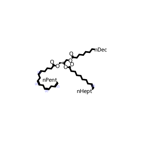 CCCCC/C=C\C/C=C\C/C=C\C/C=C\CCCC(=O)OC[C@@H](COC(=O)CCCCCCCCCCCCCCCC)OC(=O)CCCCCCC/C=C\CCCCCCC